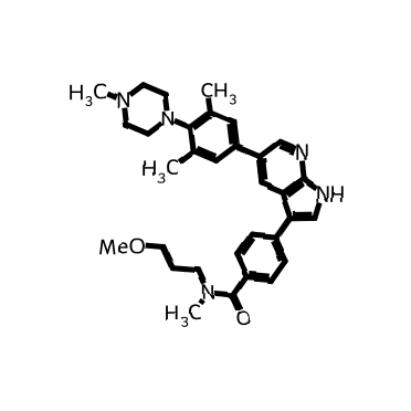 COCCCN(C)C(=O)c1ccc(-c2c[nH]c3ncc(-c4cc(C)c(N5CCN(C)CC5)c(C)c4)cc23)cc1